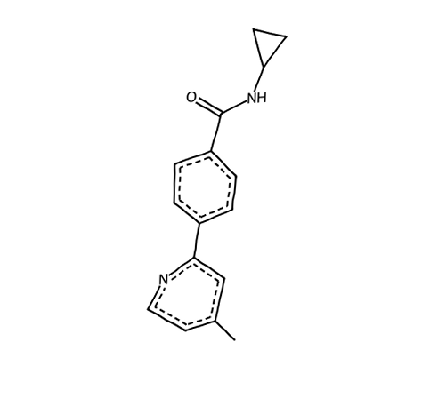 Cc1ccnc(-c2ccc(C(=O)NC3CC3)cc2)c1